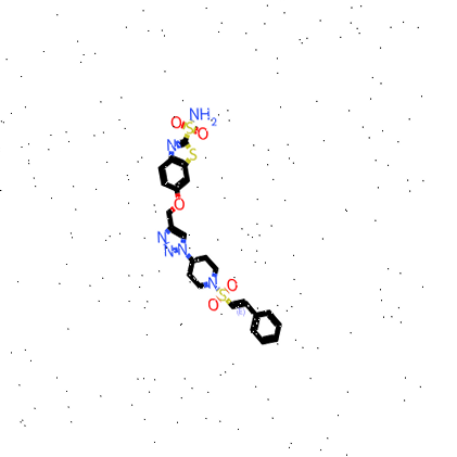 NS(=O)(=O)c1nc2ccc(OCc3cn(C4CCN(S(=O)(=O)/C=C/c5ccccc5)CC4)nn3)cc2s1